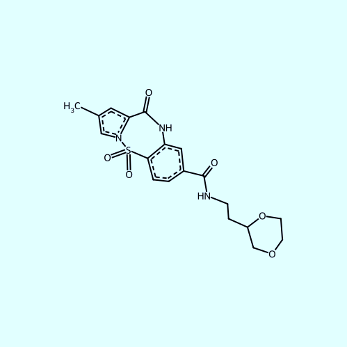 Cc1cc2n(c1)S(=O)(=O)c1ccc(C(=O)NCCC3COCCO3)cc1NC2=O